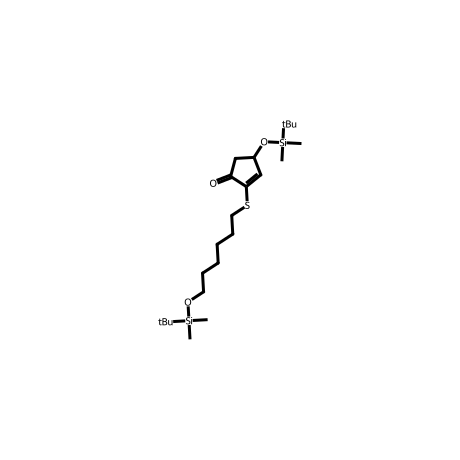 CC(C)(C)[Si](C)(C)OCCCCCCSC1=CC(O[Si](C)(C)C(C)(C)C)CC1=O